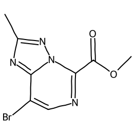 COC(=O)c1ncc(Br)c2nc(C)nn12